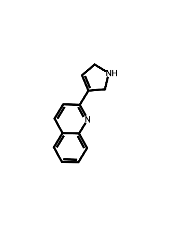 C1=C(c2ccc3ccccc3n2)CNC1